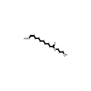 CCCCCC/C=C\CCCCCCCC(=O)OCCCO